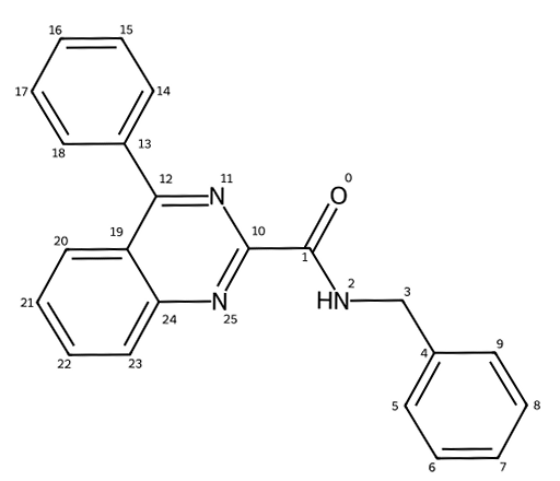 O=C(NCc1ccccc1)c1nc(-c2ccccc2)c2ccccc2n1